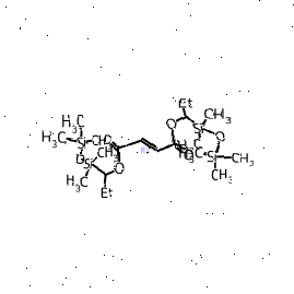 CCC(OC(=O)/C=C/C(=O)OC(CC)[Si](C)(C)O[Si](C)(C)C)[Si](C)(C)O[Si](C)(C)C